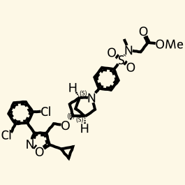 COC(=O)CN(C)S(=O)(=O)c1ccc(N2C[C@@H]3C[C@H]2C[C@H]3OCc2c(-c3c(Cl)cccc3Cl)noc2C2CC2)cc1